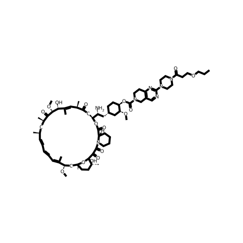 CCCOCCC(=O)N1CCN(c2ncc3c(n2)CCN(C(=O)O[C@@H]2CC[C@@H](C[C@@H](N)[C@@H]4CC(=O)[C@H](C)/C=C(\C)[C@@H](O)[C@@H](OC)C(=O)[C@H](C)C[C@H](C)/C=C/C=C/C=C(\C)[C@@H](OC)C[C@@H]5CC[C@@H](C)[C@@](O)(O5)C(=O)C(=O)N5CCCC[C@H]5C(=O)O4)C[C@H]2OC)C3)CC1